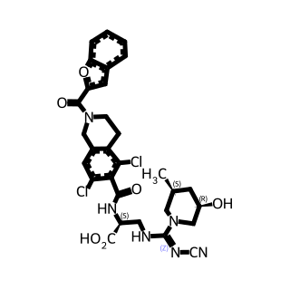 C[C@H]1C[C@@H](O)CN(/C(=N\C#N)NC[C@H](NC(=O)c2c(Cl)cc3c(c2Cl)CCN(C(=O)c2cc4ccccc4o2)C3)C(=O)O)C1